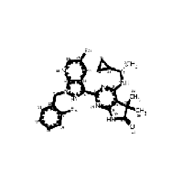 C[C@H](Nc1nc(-c2nn(Cc3ccccc3F)c3ncc(F)cc23)nc2c1C(C)(C)C(=O)N2)C1CC1